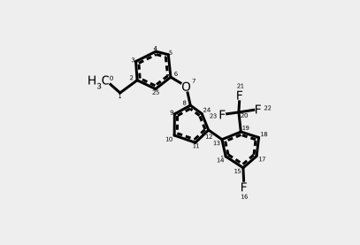 CCc1cccc(Oc2cccc(-c3[c]c(F)ccc3C(F)(F)F)c2)c1